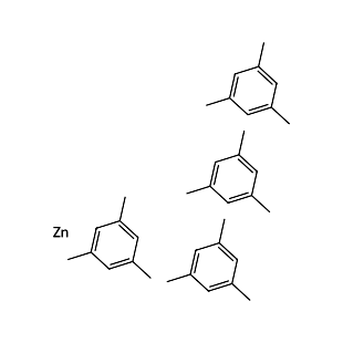 Cc1cc(C)cc(C)c1.Cc1cc(C)cc(C)c1.Cc1cc(C)cc(C)c1.Cc1cc(C)cc(C)c1.[Zn]